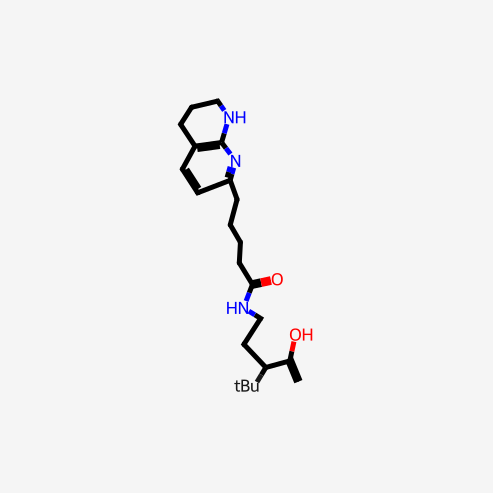 C=C(O)C(CCNC(=O)CCCCc1ccc2c(n1)NCCC2)C(C)(C)C